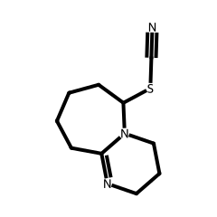 N#CSC1CCCCC2=NCCCN21